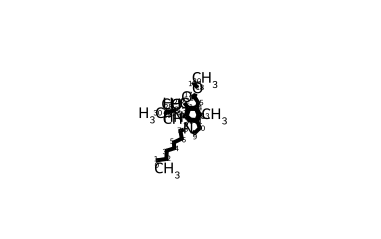 CCCCCCCCN1CCc2c(C)c(CC(=O)OCC)c(C)c(NC(=O)C(C)(C)C)c21